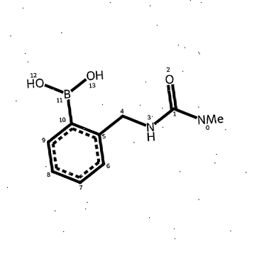 CNC(=O)NCc1ccccc1B(O)O